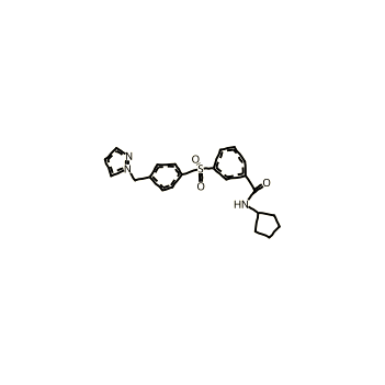 O=C(NC1CCCC1)c1cccc(S(=O)(=O)c2ccc(Cn3cccn3)cc2)c1